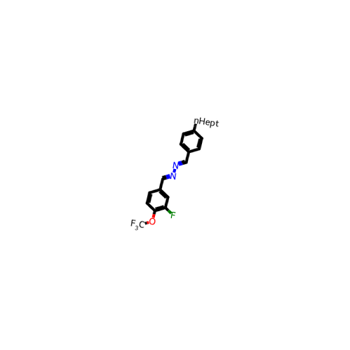 CCCCCCCc1ccc(C=NN=Cc2ccc(OC(F)(F)F)c(F)c2)cc1